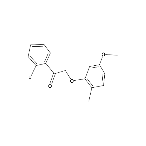 COc1ccc(C)c(OCC(=O)c2ccccc2F)c1